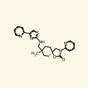 C[C@]1(CNc2nc(-c3ccccn3)cs2)CC[C@]2(CC1)CN(c1ccccn1)C(=O)O2